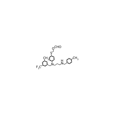 Cc1ccc(CNCCCN(Cc2cc(C)cc(C(F)(F)F)c2)c2ccc(SCOC=O)cc2)cc1